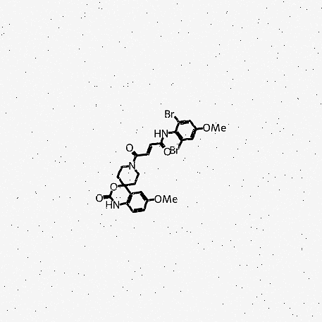 COc1cc(Br)c(NC(=O)C=CC(=O)N2CCC3(CC2)OC(=O)Nc2ccc(OC)cc23)c(Br)c1